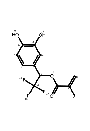 C=C(C)C(=O)OC(c1ccc(O)c(O)c1)C(F)(F)F